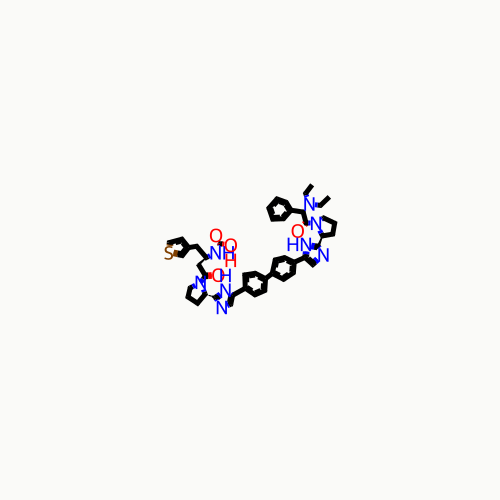 CCN(CC)[C@@H](C(=O)N1CCC[C@H]1c1ncc(-c2ccc(-c3ccc(-c4cnc([C@@H]5CCCN5C(=O)C[C@@H](Cc5ccsc5)NC(=O)O)[nH]4)cc3)cc2)[nH]1)c1ccccc1